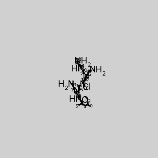 CC(C)CC(C)C(=O)NCCN(CCN)CCN(Cl)CCN(CCN)CCNCCN